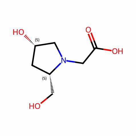 O=C(O)CN1C[C@@H](O)C[C@H]1CO